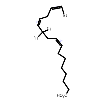 [2H]C([2H])(/C=C\C/C=C\CC)C/C=C\CCCCCCC(=O)O